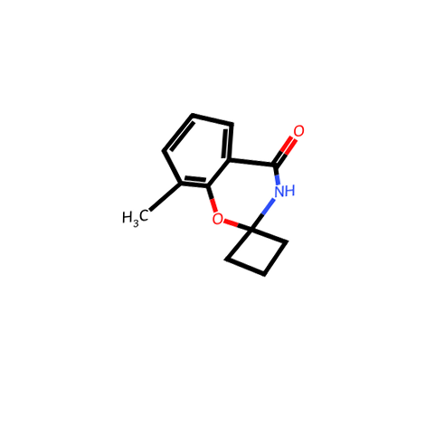 Cc1cccc2c1OC1(CCC1)NC2=O